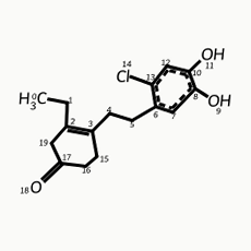 CCC1=C(CCc2cc(O)c(O)cc2Cl)CCC(=O)C1